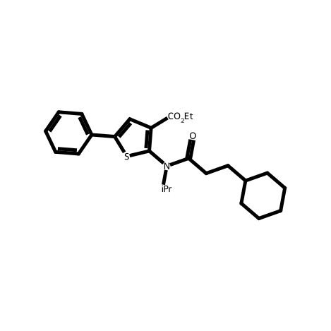 CCOC(=O)c1cc(-c2ccccc2)sc1N(C(=O)CCC1CCCCC1)C(C)C